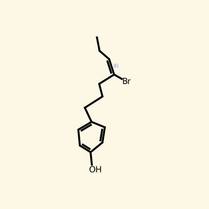 CC/C=C(/Br)CCCc1ccc(O)cc1